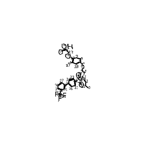 CCCN(CCSc1ccc(OCC(=O)O)c(C)c1)S(=O)(=O)c1ccc(-c2cccc(C(F)(F)F)c2)cc1